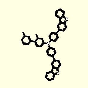 CC1C=C(C2=CC=C(N(c3ccc(-c4ccc5oc6ccccc6c5c4)cc3)c3ccc(-c4ccc5sc6ccccc6c5c4)cc3)CC2C)C=CC1